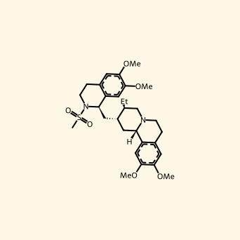 CC[C@H]1CN2CCc3cc(OC)c(OC)cc3[C@@H]2C[C@@H]1C[C@@H]1c2cc(OC)c(OC)cc2CCN1S(C)(=O)=O